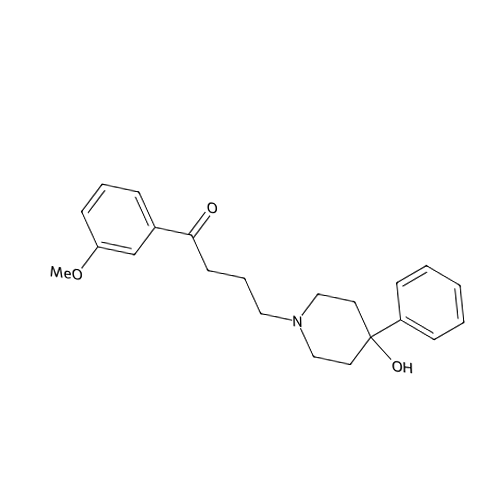 COc1cccc(C(=O)CCCN2CCC(O)(c3ccccc3)CC2)c1